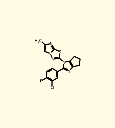 Cc1cn2nc(-n3c(-c4ccc(F)c(Cl)c4)nc4c3CCC4)sc2n1